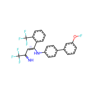 N=C(/C=C(\Nc1ccc(-c2cccc(OF)c2)cc1)c1ccccc1C(F)(F)F)C(F)(F)F